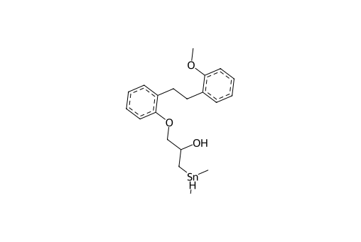 COc1ccccc1CCc1ccccc1OCC(O)[CH2][SnH]([CH3])[CH3]